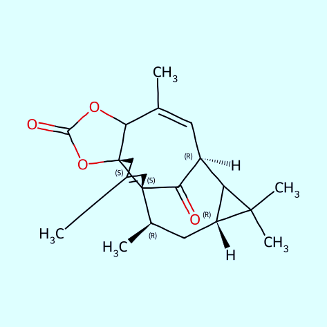 CC1=C[C@]23C(=O)[C@@H](C=C(C)C4OC(=O)O[C@]42C1)C1[C@@H](C[C@H]3C)C1(C)C